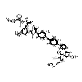 COC(=O)N[C@@H](C)C(=O)N1C[C@@H](O)C[C@H]1c1ncc(-c2ccc(-c3ccc(-c4cnc([C@@H]5C[C@H](O)CN5C(=O)[C@H](C)NC(=O)O)[nH]4)cc3)cc2)[nH]1